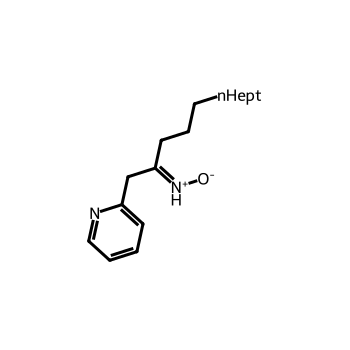 CCCCCCCCCCC(Cc1ccccn1)=[NH+][O-]